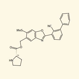 CSc1cc2oc(-c3cccc(-c4ccccc4)c3C#N)nc2cc1COC(=O)[C@@H]1CCCN1